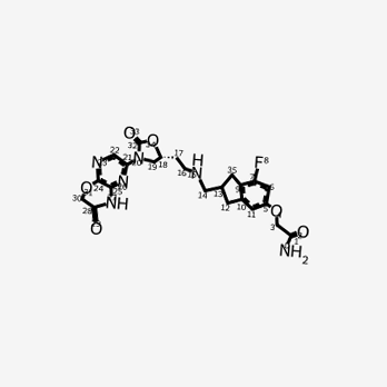 NC(=O)COc1cc(F)c2c(c1)CC(CNCC[C@@H]1CN(c3cnc4c(n3)NC(=O)CO4)C(=O)O1)C2